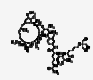 COc1cc2cc(c1Cl)N(C)C(=O)C[C@H](OC(=O)[C@H](C)N(C)C(=O)c1ccc(NC(=O)[C@H](CCCNC(N)=O)NC(=O)[C@@H](NC(C=O)CCCCOC(C=O)(CBr)CBr)C(C)C)cc1F)[C@]1(C)O[C@H]1[C@H](C)[C@@H]1C[C@@](O)(NC(=O)O1)[C@H](OC)/C=C/C=C(\C)C2